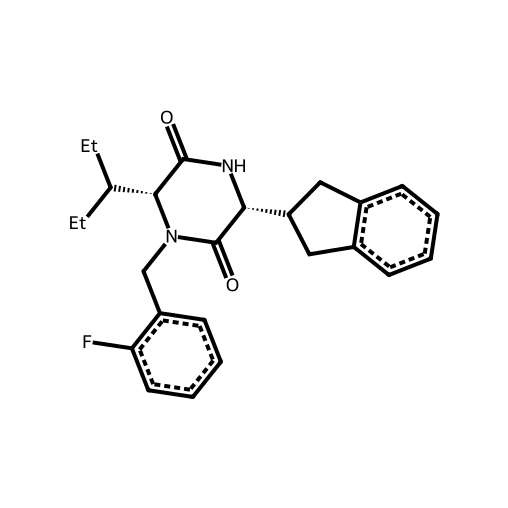 CCC(CC)[C@@H]1C(=O)N[C@H](C2Cc3ccccc3C2)C(=O)N1Cc1ccccc1F